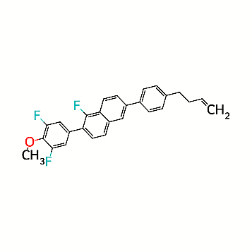 C=CCCc1ccc(-c2ccc3c(F)c(-c4cc(F)c(OC)c(F)c4)ccc3c2)cc1